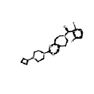 O=C(c1c(F)cccc1F)N1CCc2cnc(N3CCN(C4CCC4)CC3)nc2CC1